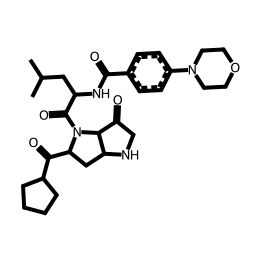 CC(C)CC(NC(=O)c1ccc(N2CCOCC2)cc1)C(=O)N1C(C(=O)C2CCCC2)CC2NCC(=O)C21